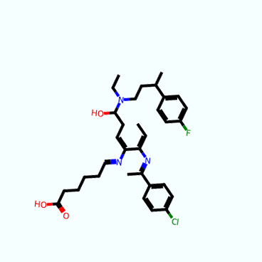 C/C=C(/N=C(\C)c1ccc(Cl)cc1)C(=C/CC(O)N(CC)CCC(C)c1ccc(F)cc1)\N=C\CCCCC(=O)O